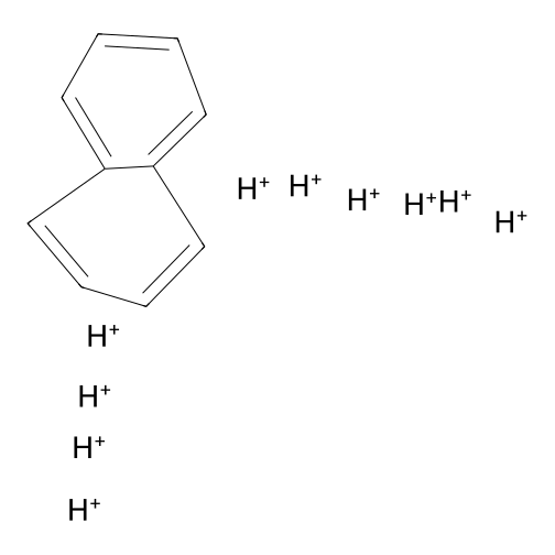 [H+].[H+].[H+].[H+].[H+].[H+].[H+].[H+].[H+].[H+].c1ccc2ccccc2c1